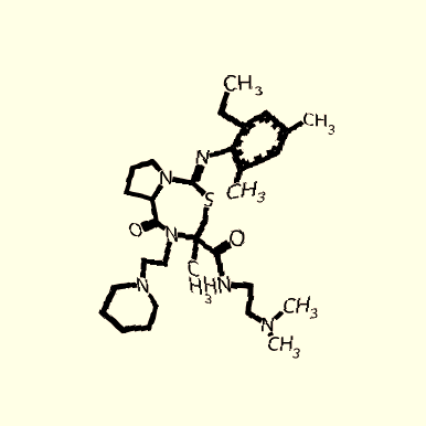 CCc1cc(C)cc(C)c1/N=C1\SCC(C)(C(=O)NCCN(C)C)N(CCN2CCCCC2)C(=O)C2CCCN12